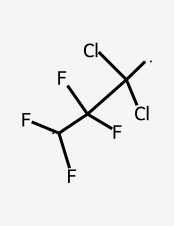 [CH2]C(Cl)(Cl)C(F)(F)[C](F)F